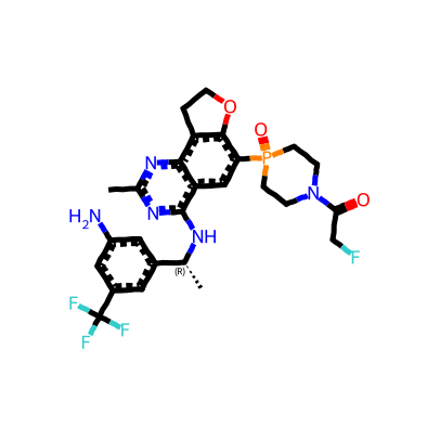 Cc1nc(N[C@H](C)c2cc(N)cc(C(F)(F)F)c2)c2cc(P3(=O)CCN(C(=O)CF)CC3)c3c(c2n1)CCO3